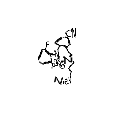 CNCCCN1Cc2cc(C#N)ccc2N(c2c(F)cccc2F)S1(=O)=O